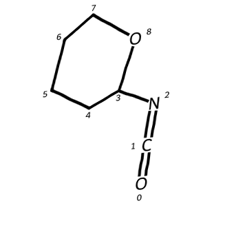 O=C=NC1CCCCO1